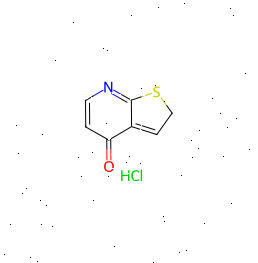 Cl.O=C1C=CN=C2SCC=C12